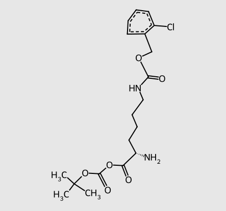 CC(C)(C)OC(=O)OC(=O)[C@@H](N)CCCCNC(=O)OCc1ccccc1Cl